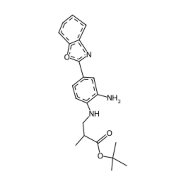 CC(CNc1ccc(-c2nc3ccccc3o2)cc1N)C(=O)OC(C)(C)C